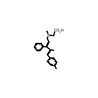 CC(=C\c1ccc(C)cc1)/C(=C/CN(C)CC(=O)O)c1ccccc1